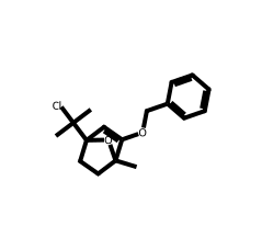 CC12CCC(C(C)(C)Cl)(C=C1OCc1ccccc1)O2